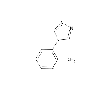 Cc1[c]cccc1-n1cnnc1